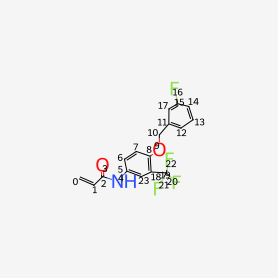 C=CC(=O)Nc1ccc(OCc2cccc(F)c2)c(C(F)(F)F)c1